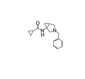 O=C(NC12CC1CN(Cc1ccccc1)C2)C1CC1